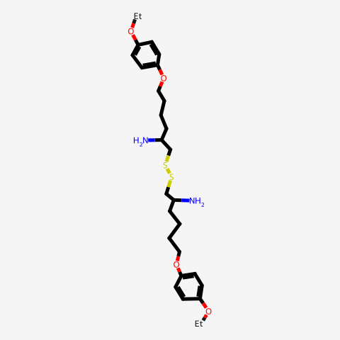 CCOc1ccc(OCCCCC(N)CSSCC(N)CCCCOc2ccc(OCC)cc2)cc1